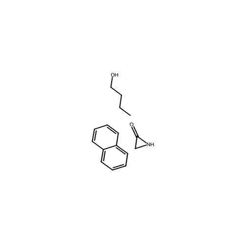 CCCCO.O=C1CN1.c1ccc2ccccc2c1